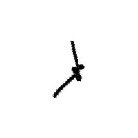 CCCCCCCCCCCCCCCCCCCCSN(C(=O)c1ccccc1C(=O)N(SCCCCCCCCCCCCCCCCCCCC)c1ccccc1)c1ccccc1